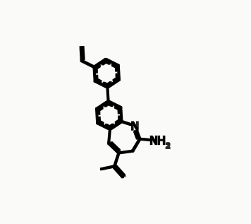 C=Cc1cccc(-c2ccc3c(c2)N=C(N)CC(C(=C)C)=C3)c1